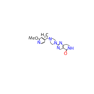 COc1cc(C(C)N2CCN(c3ncc4c(n3)CCNC4=O)CC2)ccn1